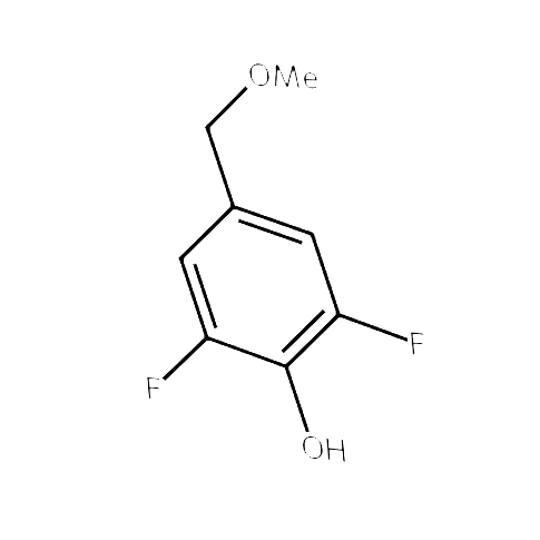 COCc1cc(F)c(O)c(F)c1